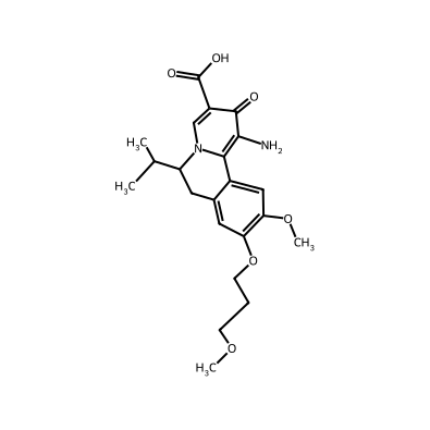 COCCCOc1cc2c(cc1OC)-c1c(N)c(=O)c(C(=O)O)cn1C(C(C)C)C2